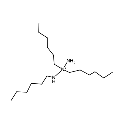 CCCCCCN[N+](N)(CCCCCC)CCCCCC